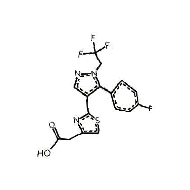 O=C(O)Cc1csc(-c2cnn(CC(F)(F)F)c2-c2ccc(F)cc2)n1